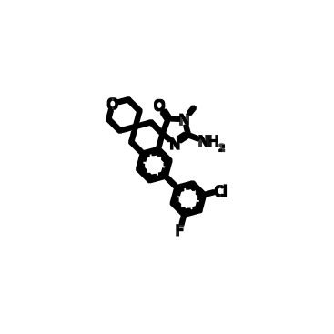 CN1C(=O)C2(CC3(CCOCC3)Cc3ccc(-c4cc(F)cc(Cl)c4)cc32)N=C1N